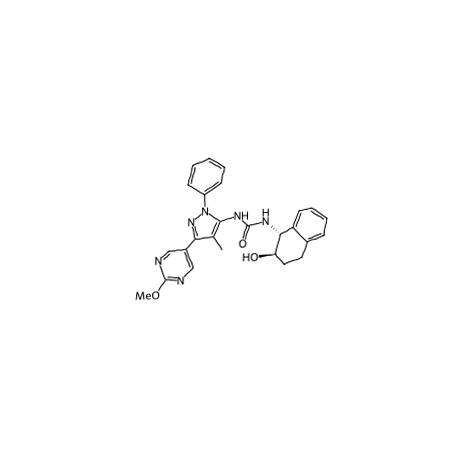 COc1ncc(-c2nn(-c3ccccc3)c(NC(=O)N[C@@H]3c4ccccc4CC[C@H]3O)c2C)cn1